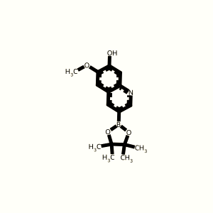 COc1cc2cc(B3OC(C)(C)C(C)(C)O3)cnc2cc1O